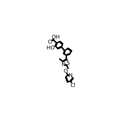 Cc1nc(COc2ccc(Cl)cn2)sc1-c1cccc(-c2ccc(C(=O)O)c(O)c2)c1